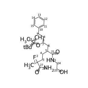 CC(F)(CCC(CC([CH]Cc1ccccc1)O[Si](C)(C)C(C)(C)C)C(=O)NCCO)C(N)=O